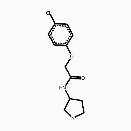 O=C(COc1ccc(Cl)cc1)NC1CC[N]C1